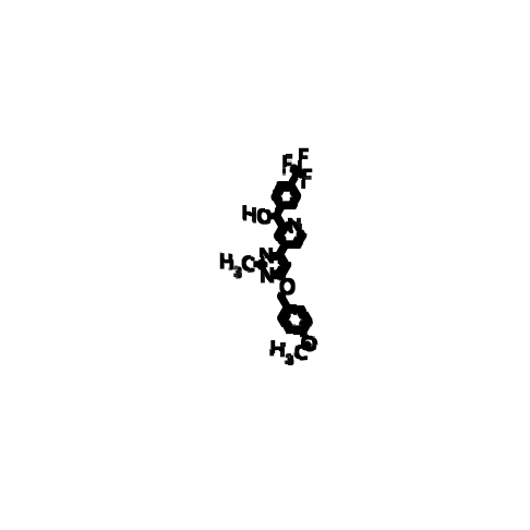 COc1ccc(COc2cc(-c3ccnc(C(O)c4ccc(C(F)(F)F)cc4)c3)nc(C)n2)cc1